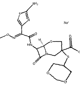 CON=C(C(=O)NC1C(=O)N2CC(SC3COCOC3)(C(=O)[O-])CS[C@H]12)c1csc(N)n1.[Na+]